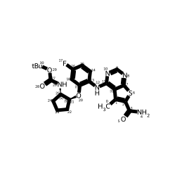 Cc1c(C(N)=O)sc2ncnc(Nc3ccc(F)cc3O[C@H]3CCC[C@@H]3NC(=O)OC(C)(C)C)c12